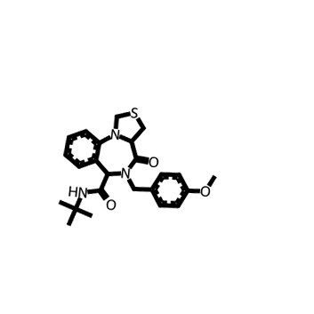 COc1ccc(CN2C(=O)C3CSCN3c3ccccc3C2C(=O)NC(C)(C)C)cc1